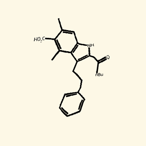 CCCCC(=O)c1[nH]c2cc(C)c(C(=O)O)c(C)c2c1CCc1ccccc1